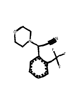 N#CC(c1ccccc1C(F)(F)F)N1CCOCC1